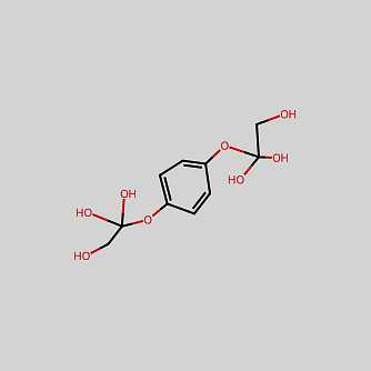 OCC(O)(O)Oc1ccc(OC(O)(O)CO)cc1